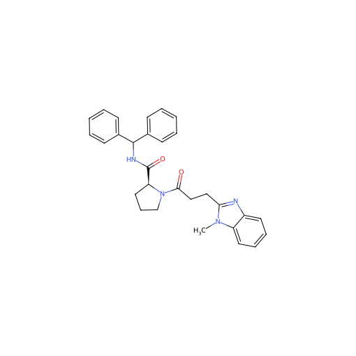 Cn1c(CCC(=O)N2CCC[C@H]2C(=O)NC(c2ccccc2)c2ccccc2)nc2ccccc21